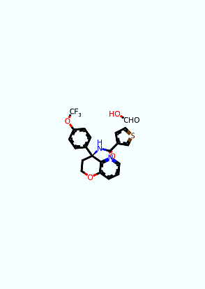 O=C(N[C@]1(c2ccc(OC(F)(F)F)cc2)CCOc2cccnc21)c1ccsc1.O=CO